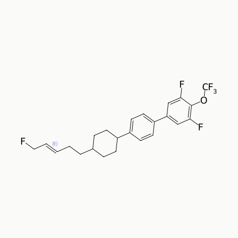 FC/C=C/CCC1CCC(c2ccc(-c3cc(F)c(OC(F)(F)F)c(F)c3)cc2)CC1